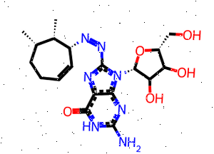 C[C@H]1[C@@H](C)CCC=C[C@H]1/N=N\c1nc2c(=O)[nH]c(N)nc2n1[C@@H]1O[C@H](CO)C(O)C1O